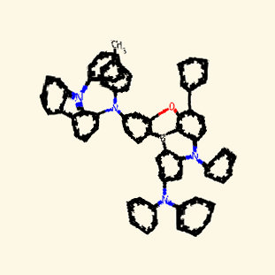 Cc1ccc(N(c2ccc3c(c2)Oc2c(-c4ccccc4)ccc4c2B3c2ccc(N(c3ccccc3)c3ccccc3)cc2N4c2ccccc2)c2cccc3c4ccccc4n(-c4ccccc4)c23)cc1